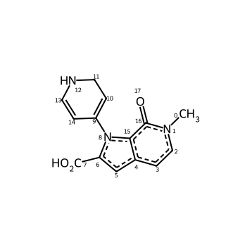 Cn1ccc2cc(C(=O)O)n(C3=CCNC=C3)c2c1=O